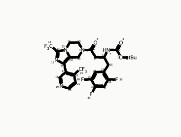 CC(C)(C)OC(=O)NC(CC(=O)N1CCn2c(C(F)(F)F)nc(-c3cnccc3C(F)(F)F)c2C1)Cc1cc(F)c(F)cc1F